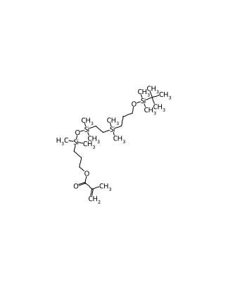 C=C(C)C(=O)OCCC[Si](C)(C)O[Si](C)(C)CC[Si](C)(C)CCCO[Si](C)(C)C(C)(C)C